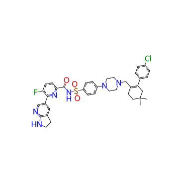 CC1(C)CCC(CN2CCN(c3ccc(S(=O)(=O)NC(=O)c4ccc(F)c(-c5cnc6c(c5)CCN6)n4)cc3)CC2)=C(c2ccc(Cl)cc2)C1